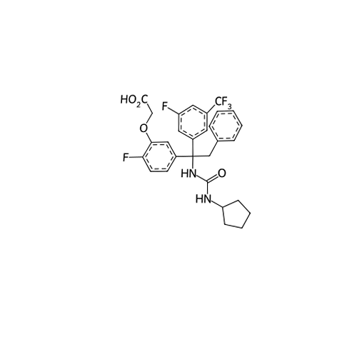 O=C(O)COc1cc(C(Cc2ccccc2)(NC(=O)NC2CCCC2)c2cc(F)cc(C(F)(F)F)c2)ccc1F